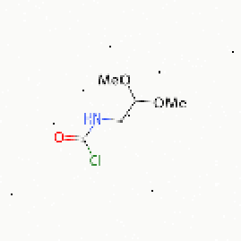 COC(CNC(=O)Cl)OC